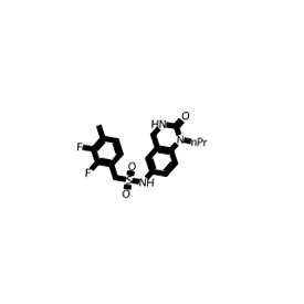 CCCN1C(=O)NCc2cc(NS(=O)(=O)Cc3ccc(C)c(F)c3F)ccc21